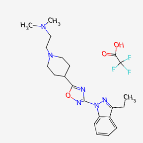 CCc1nn(-c2noc(C3CCN(CCN(C)C)CC3)n2)c2ccccc12.O=C(O)C(F)(F)F